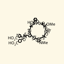 CNC(=O)C[C@@H]1NC(=O)c2csc(n2)-c2ccc(-c3nc(N(C(=O)C4CCC(C(=O)O)CC4)c4ccnc(C(=O)O)c4)cs3)nc2-c2csc(n2)-c2csc(n2)[C@H]([C@@H](O)c2ccccc2)NC(=O)CNC(=O)c2nc(sc2COC)C(C(C)C)NC(=O)c2nc1sc2C